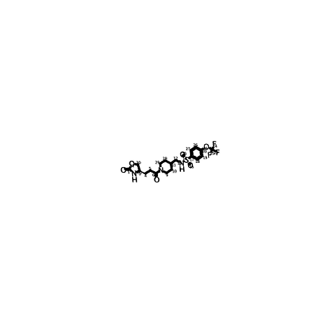 O=C1N[C@H](CCC(=O)N2CCC(CNS(=O)(=O)c3ccc(OC(F)(F)F)cc3)CC2)CO1